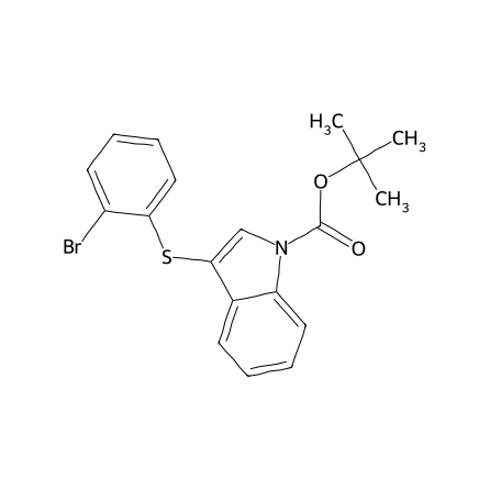 CC(C)(C)OC(=O)n1cc(Sc2ccccc2Br)c2ccccc21